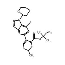 CC1CC=C(c2cc(F)c3c(cnn3C3CCCCO3)c2)N(C(=O)OC(C)(C)C)C1